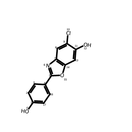 Oc1ccc(-c2nc3cc(Cl)c(O)cc3o2)cc1